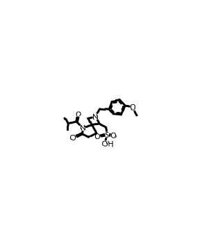 COc1ccc(CN2CC3(CCC(=O)N3C(=O)C(C)C)C2CS(=O)(=O)O)cc1